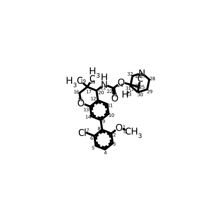 COc1cccc(Cl)c1-c1ccc2c(c1)OCC(C)(C)C2NC(=O)O[C@H]1CN2CCC1CC2